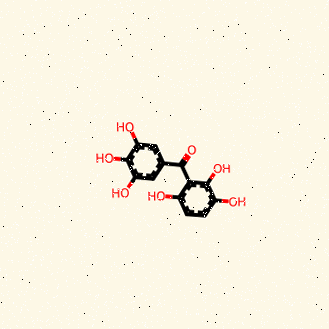 O=C(c1cc(O)c(O)c(O)c1)c1c(O)ccc(O)c1O